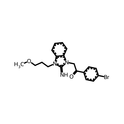 COCCCn1c(=N)n(CC(=O)c2ccc(Br)cc2)c2ccccc21